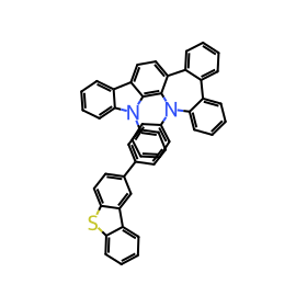 c1ccc(N2c3ccccc3-c3ccccc3-c3ccc4c5ccccc5n(-c5cccc(-c6ccc7sc8ccccc8c7c6)c5)c4c32)cc1